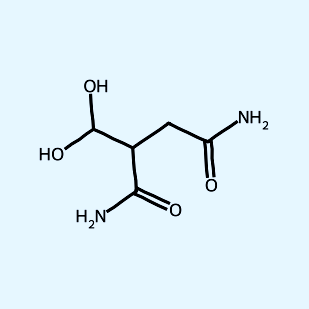 NC(=O)CC(C(N)=O)C(O)O